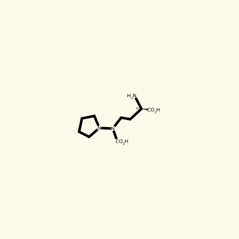 N[C@@H](CCN(C(=O)O)N1CCCC1)C(=O)O